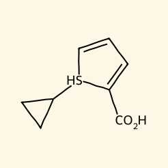 O=C(O)C1=CC=C[SH]1C1CC1